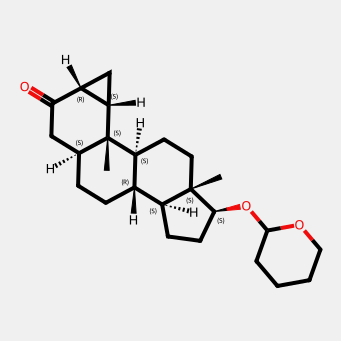 C[C@]12CC[C@H]3[C@@H](CC[C@H]4CC(=O)[C@@H]5C[C@@H]5[C@@]43C)[C@@H]1CC[C@@H]2OC1CCCCO1